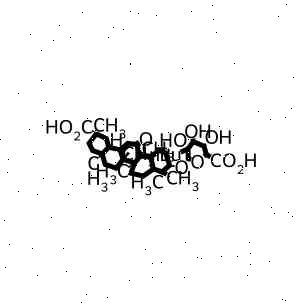 CCCCC1(O)C(O)[C@H](O)C(C(=O)O)O[C@H]1O[C@H]1CC[C@@]2(C)C(CC[C@]3(C)C2C(=O)C=C2[C@@H]4C[C@@](C)(C(=O)O)CC[C@]4(C)CC[C@]23C)C1(C)C